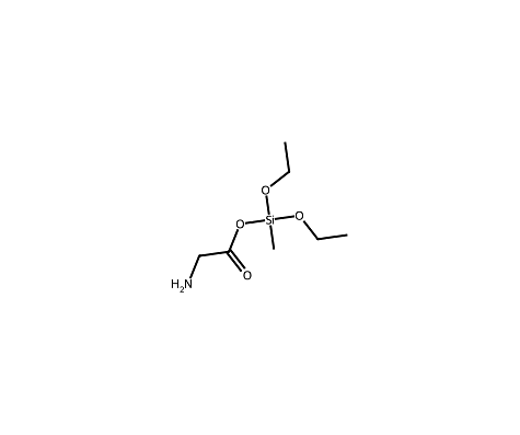 CCO[Si](C)(OCC)OC(=O)CN